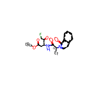 CC[C@@H](C(=O)NC(CC(=O)OC(C)(C)C)C(=O)CF)n1ccc2ccccc2c1=O